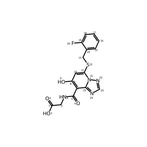 O=C(O)CNC(=O)c1c(O)cc(SCc2ccccc2F)n2ncnc12